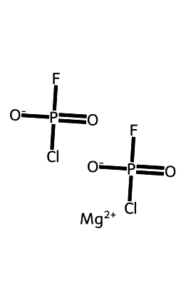 O=P([O-])(F)Cl.O=P([O-])(F)Cl.[Mg+2]